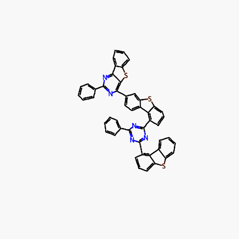 c1ccc(-c2nc(-c3cccc4sc5ccccc5c34)nc(-c3cccc4sc5cc(-c6nc(-c7ccccc7)nc7c6sc6ccccc67)ccc5c34)n2)cc1